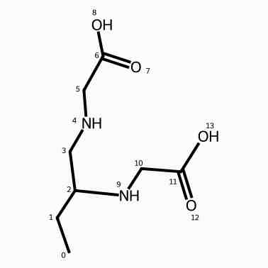 CCC(CNCC(=O)O)NCC(=O)O